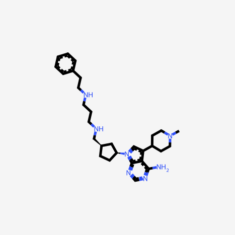 CN1CCC(c2cn([C@H]3CC[C@@H](CNCCCNCCc4ccccc4)C3)c3ncnc(N)c23)CC1